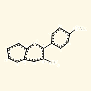 COc1ccc(-c2nc3ccccc3cc2C)cc1